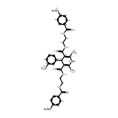 CC(=O)Nc1ccc(C(=O)OCCOC(=O)C2=C(C)NC(C)=C(C(=O)OCCOC(=O)c3ccc(NC(C)=O)cc3)C2c2cccc([N+](=O)[O-])c2)cc1